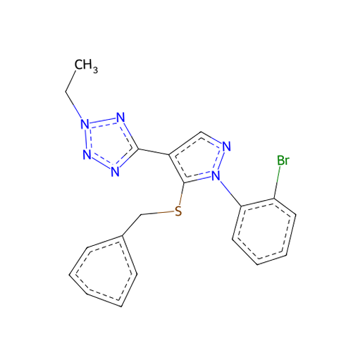 CCn1nnc(-c2cnn(-c3ccccc3Br)c2SCc2ccccc2)n1